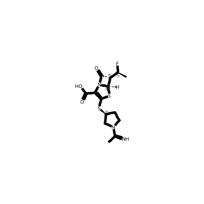 CC(=N)N1CC[C@H](SC2=C(C(=O)O)N3C(=O)[C@H]([C@H](C)F)[C@H]3S2)C1